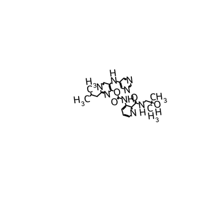 CC(C)Cc1ncc(Nc2cncnc2)c(OC(=O)Nc2cccnc2C(=O)NCC(C)(C)O)n1